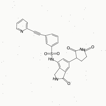 O=C1CCC(c2cc(NS(=O)(=O)c3cccc(C#Cc4ccccn4)c3)c3c(c2)C(=O)NC3)C(=O)N1